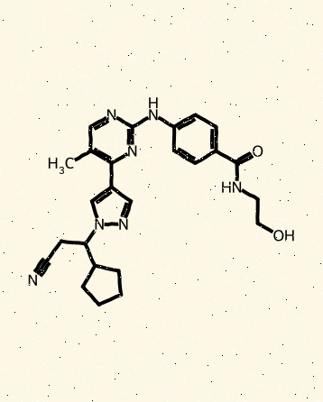 Cc1cnc(Nc2ccc(C(=O)NCCO)cc2)nc1-c1cnn(C(CC#N)C2CCCC2)c1